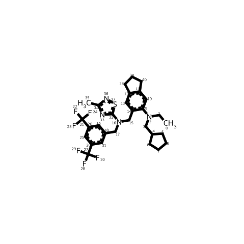 CCN(CC1CCCC1)c1cc2c(cc1CN(Cc1cc(C(F)(F)F)cc(C(F)(F)F)c1)c1nc(C)ns1)CCC2